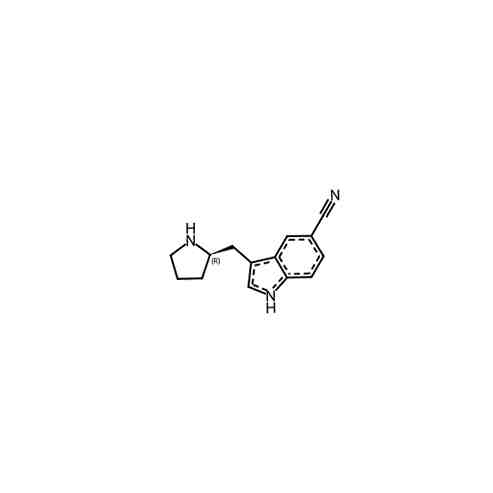 N#Cc1ccc2[nH]cc(C[C@H]3CCCN3)c2c1